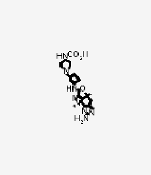 Cn1nc(C(=O)Nc2cccc(CN3CCC(NC(=O)O)CC3)c2)c2c1-c1nc(N)ncc1CC2(C)C